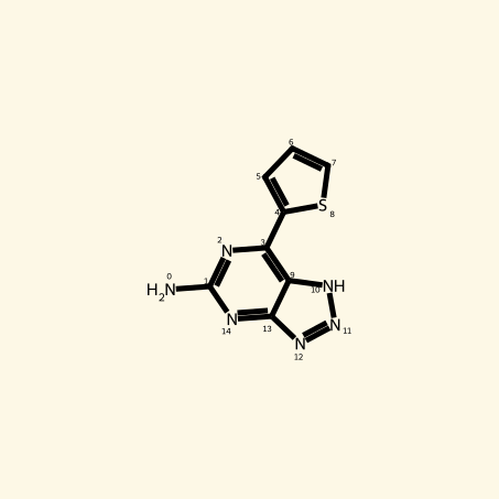 Nc1nc(-c2cccs2)c2[nH]nnc2n1